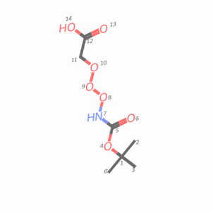 CC(C)(C)OC(=O)NOOOCC(=O)O